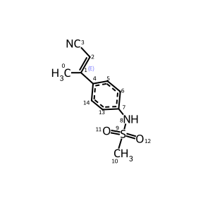 C/C(=C\C#N)c1ccc(NS(C)(=O)=O)cc1